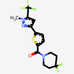 Cn1nc(-c2ccc(C(=O)N3CCC(F)(F)CC3)s2)cc1C(F)(F)F